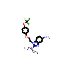 CN(C)c1nc2cc(N)ccc2n1CCOc1ccc(OC(F)(F)F)cc1